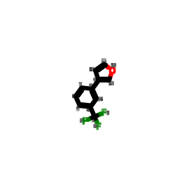 FC(F)(F)c1cccc(-c2c[c]oc2)c1